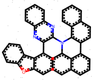 c1ccc2c3c(ccc2c1)-c1cccc2cccc(c12)N3c1nc2ccccc2nc1-c1cccc2oc3ccccc3c12